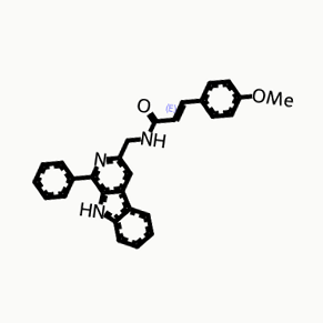 COc1ccc(/C=C/C(=O)NCc2cc3c([nH]c4ccccc43)c(-c3ccccc3)n2)cc1